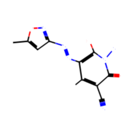 Cc1cc(N=Nc2c(C)c(C#N)c(=O)n(N)c2O)no1